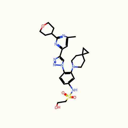 Cc1cc(-c2cn(-c3ccc(NS(=O)(=O)CCO)cc3N3CCC4(CC3)CC4)nn2)nc(C2CCOCC2)n1